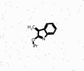 C=C1C(OC(C)C)=Nc2ccccc21